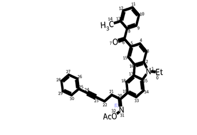 CCn1c2ccc(C(=O)c3ccccc3C)cc2c2cc(/C(CCC#Cc3ccccc3)=N/OC(C)=O)ccc21